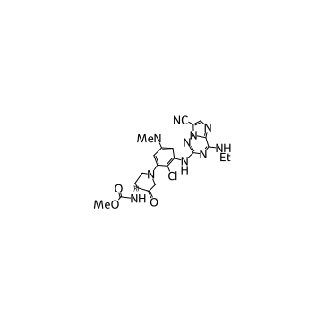 CCNc1nc(Nc2cc(NC)cc(N3CC[C@@H](NC(=O)OC)C(=O)C3)c2Cl)nn2c(C#N)cnc12